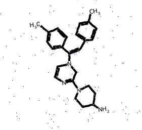 Cc1ccc(/C=C(\c2ccc(C)cc2)N2C=CN=C(N3CCC(N)CC3)C2)cc1